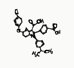 CC(C)c1ccc(-n2c(-c3ccc(C(=O)O)cc3)c(C(=O)O)c3cc(Oc4ccc(Cl)cc4)ccc32)cc1